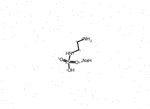 NCCNS(=O)(=O)O.[NaH]